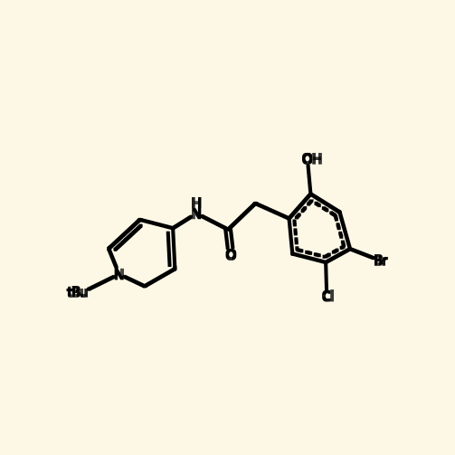 CC(C)(C)N1C=CC(NC(=O)Cc2cc(Cl)c(Br)cc2O)=CC1